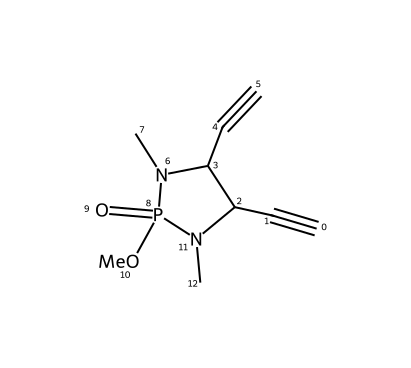 C#CC1C(C#C)N(C)P(=O)(OC)N1C